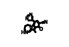 Cc1c2c(n3c1=CNCCC3)=C(c1cncnc1)C=C(C#N)C2=O